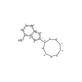 Sc1ncnn2cc(C3CCCCCCCC3)cc12